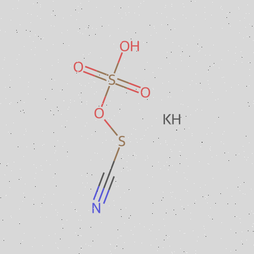 N#CSOS(=O)(=O)O.[KH]